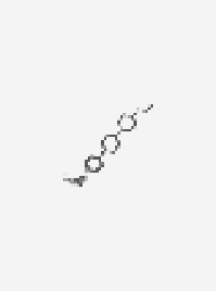 CCC[C@H]1CC[C@H](C2CCC(c3ccc([C@@H]4C[C@H]4F)cc3)CC2)CC1